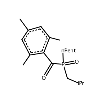 CCCCCP(=O)(CC(C)C)C(=O)c1c(C)cc(C)cc1C